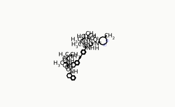 C=C1/C=C\C=C/C[C@H](NC(=O)[C@@H]2C[C@H](NC(=O)c3ccc(C#Cc4ccc5c(c4)CN(C(=O)[C@@H](NC(=O)[C@H](C)NC)C(C)(C)C)[C@H](C(=O)N[C@@H]4CCCc6ccccc64)C5)cc3)CN2C(=O)[C@@H](NC(=O)[C@H](C)NC)C(C)(C)C)CCC1